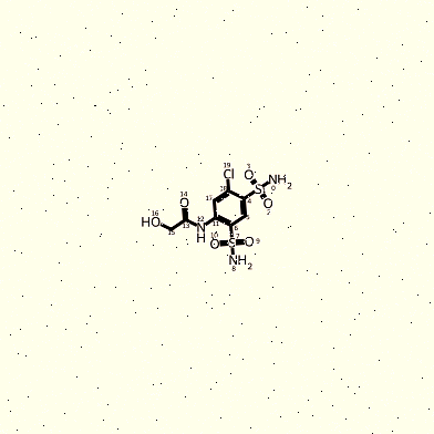 NS(=O)(=O)c1cc(S(N)(=O)=O)c(NC(=O)CO)cc1Cl